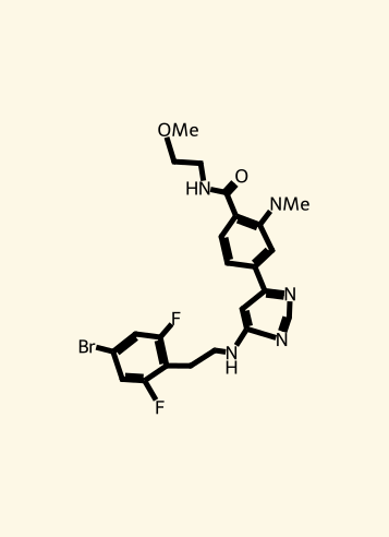 CNc1cc(-c2cc(NCCc3c(F)cc(Br)cc3F)ncn2)ccc1C(=O)NCCOC